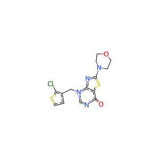 O=c1ncn(Cc2ccsc2Cl)c2nc(N3CCOCC3)sc12